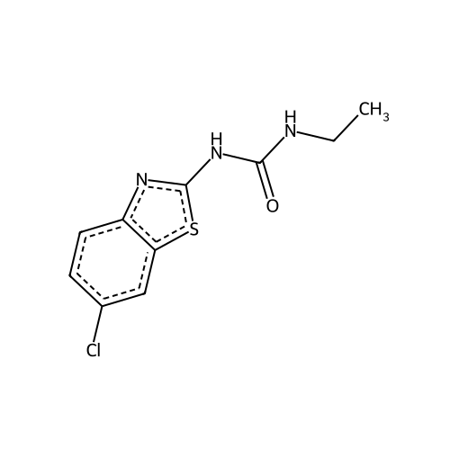 CCNC(=O)Nc1nc2ccc(Cl)cc2s1